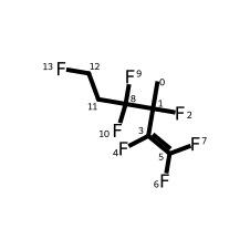 CC(F)(C(F)=C(F)F)C(F)(F)CCF